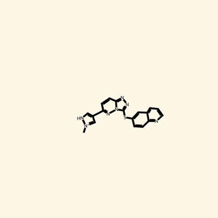 C[n+]1cc(-c2ccc3nnc(Sc4ccc5ncccc5c4)n3n2)c[nH]1